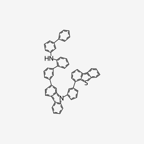 c1ccc(-c2cccc(Nc3ccccc3-c3cccc(-c4ccc5c6ccccc6n(-c6cccc(-c7cccc8c7sc7ccccc78)c6)c5c4)c3)c2)cc1